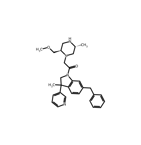 COC[C@H]1CN[C@H](C)CN1CC(=O)N1CC(C)(c2cccnc2)c2ccc(Cc3ccccc3)cc21